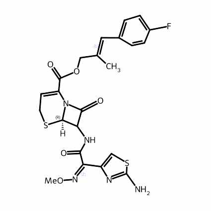 CO/N=C(\C(=O)NC1C(=O)N2C(C(=O)OC/C(C)=C/c3ccc(F)cc3)=CCS[C@H]12)c1csc(N)n1